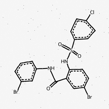 O=C(Nc1cccc(Br)c1)c1cc(Br)ccc1NS(=O)(=O)c1ccc(Cl)cc1